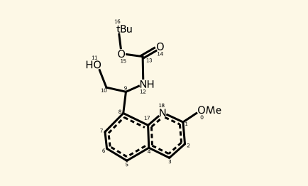 COc1ccc2cccc(C(CO)NC(=O)OC(C)(C)C)c2n1